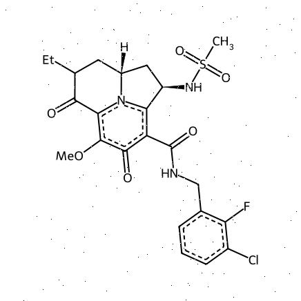 CCC1C[C@@H]2C[C@@H](NS(C)(=O)=O)c3c(C(=O)NCc4cccc(Cl)c4F)c(=O)c(OC)c(n32)C1=O